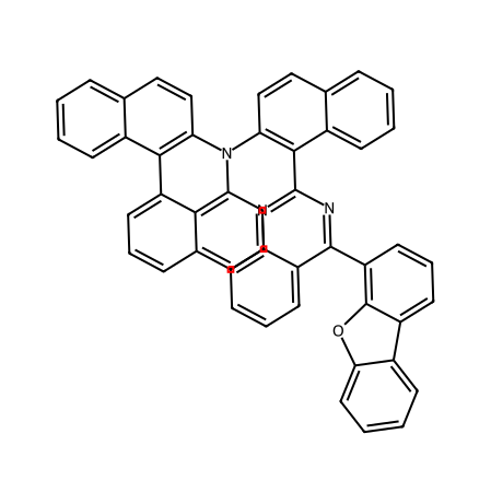 c1ccc2c(-c3nc(-c4cccc5c4oc4ccccc45)c4ccccc4n3)c(N3c4ccc5ccccc5c4-c4cccc5cccc3c45)ccc2c1